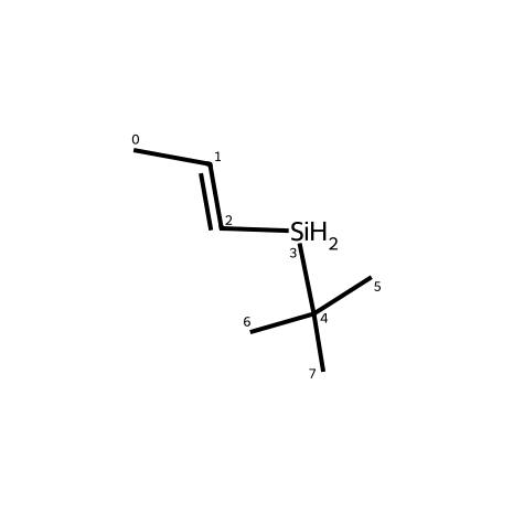 CC=C[SiH2]C(C)(C)C